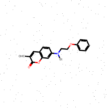 CCN(CCOc1ccccc1)c1ccc2cc(C=O)c(=O)oc2c1